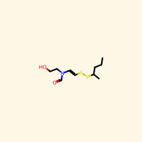 CCCC(C)SS/C=C/N(C=O)CCO